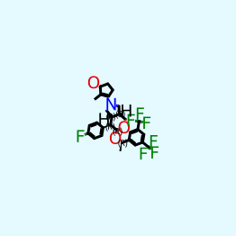 CC1=C(N2C[C@H]3CO[C@H](O[C@H](C)c4cc(C(F)(F)F)cc(C(F)(F)F)c4)[C@@H](c4ccc(F)cc4)[C@@H]3C2)CCC1=O